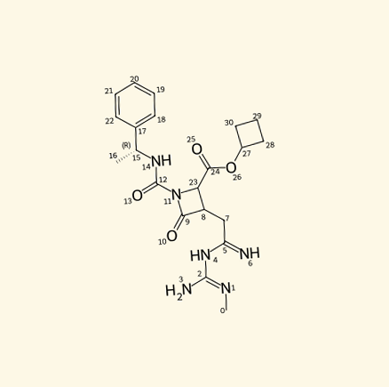 CN=C(N)NC(=N)CC1C(=O)N(C(=O)N[C@H](C)c2ccccc2)C1C(=O)OC1CCC1